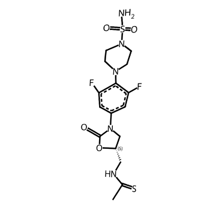 CC(=S)NC[C@H]1CN(c2cc(F)c(N3CCN(S(N)(=O)=O)CC3)c(F)c2)C(=O)O1